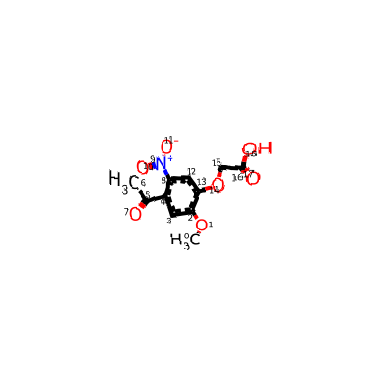 COc1cc(C(C)=O)c([N+](=O)[O-])cc1OCC(=O)O